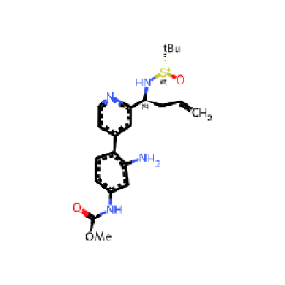 C=CC[C@H](N[S@@+]([O-])C(C)(C)C)c1cc(-c2ccc(NC(=O)OC)cc2N)ccn1